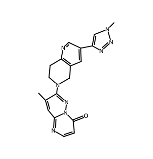 Cc1cc2nccc(=O)n2nc1N1CCc2ncc(-c3cn(C)nn3)cc2C1